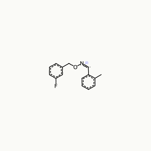 Cc1ccccc1/[C]=N\OCc1cccc(F)c1